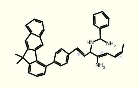 C/C=C\C=C(/N)C(/C=C/c1ccc(-c2cccc3c2-c2cc4ccccc4cc2C3(C)C)cc1)NC(N)c1ccccc1